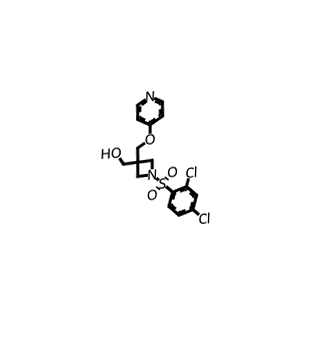 O=S(=O)(c1ccc(Cl)cc1Cl)N1CC(CO)(COc2ccncc2)C1